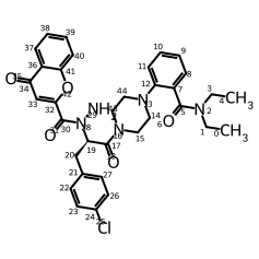 CCN(CC)C(=O)c1ccccc1N1CCN(C(=O)[C@@H](Cc2ccc(Cl)cc2)N(N)C(=O)c2cc(=O)c3ccccc3o2)CC1